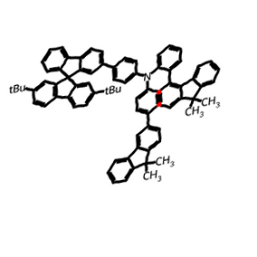 CC(C)(C)c1ccc2c(c1)C1(c3ccccc3-c3ccc(-c4ccc(N(c5ccc(-c6ccc7c(c6)-c6ccccc6C7(C)C)cc5)c5ccccc5-c5cccc6c5-c5ccccc5C6(C)C)cc4)cc31)c1cc(C(C)(C)C)ccc1-2